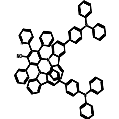 N#Cc1c(-c2ccccn2)c(-c2ccccc2)c(-n2c3ccccc3c3cc(-c4ccc(N(c5ccccc5)c5ccccc5)cc4)ccc32)c(-n2c3ccccc3c3cc(-c4ccc(N(c5ccccc5)c5ccccc5)cc4)ccc32)c1-c1ccccc1